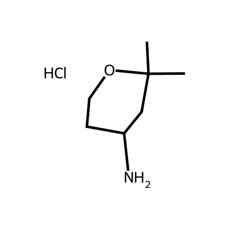 CC1(C)CC(N)CCO1.Cl